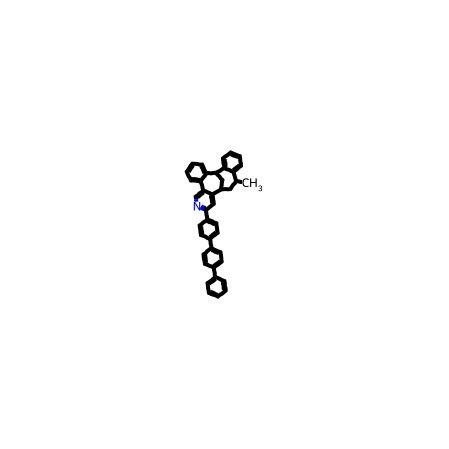 CC1CC2CC(c3ccccc3-c3cnc(-c4ccc(-c5ccc(-c6ccccc6)cc5)cc4)cc32)c2ccccc21